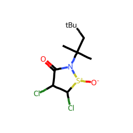 CC(C)(C)CC(C)(C)N1C(=O)C(Cl)C(Cl)[S+]1[O-]